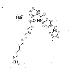 Br.CCCCCCCCCCCCCCOc1ccccc1C(=O)Nc1ccc(CN2C=CSC2)cc1